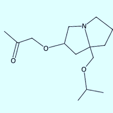 CC(=O)COC1CN2CCCC2(COC(C)C)C1